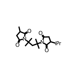 CC1CC(=O)N(C(C)(C)CC(C)(C)N2C(=O)CC(C(C)C)C2=O)C1=O